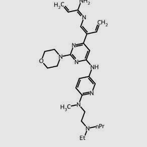 C=C/C(=C\N=C(\N)C=C)c1cc(Nc2ccc(N(C)CCN(CC)CCC)nc2)nc(N2CCOCC2)n1